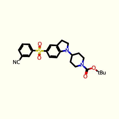 CC(C)(C)OC(=O)N1CCC(N2CCc3cc(S(=O)(=O)c4cccc(C#N)c4)ccc32)CC1